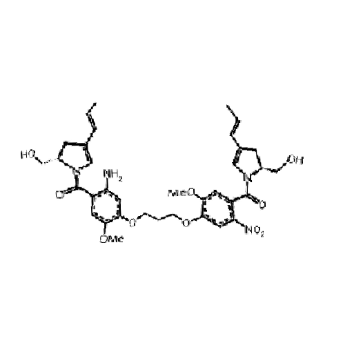 C/C=C/C1=CN(C(=O)c2cc(OC)c(OCCCOc3cc([N+](=O)[O-])c(C(=O)N4C=C(/C=C/C)C[C@H]4CO)cc3OC)cc2N)[C@H](CO)C1